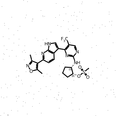 Cc1noc(C)c1-c1ccc2c(-c3nc(N[C@H]4CCC[C@H]4OS(C)(=O)=O)ncc3C(F)(F)F)c[nH]c2n1